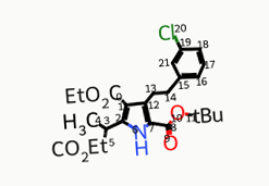 CCOC(=O)c1c(C(C)C(=O)OCC)[nH]c(C(=O)OC(C)(C)C)c1CCc1cccc(Cl)c1